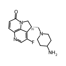 NC1CCN(C[C@H]2Cn3c(=O)ccc4ncc(F)c2c43)CC1